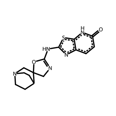 O=c1ccc2nc(NC3=NCC4(CN5CCC4CC5)O3)sc2[nH]1